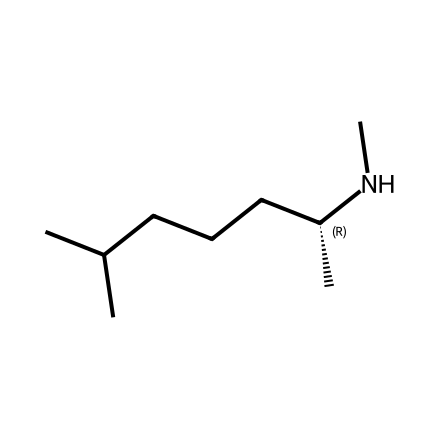 CN[C@H](C)CCCC(C)C